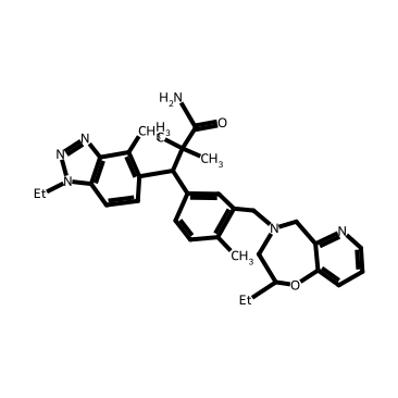 CCC1CN(Cc2cc(C(c3ccc4c(nnn4CC)c3C)C(C)(C)C(N)=O)ccc2C)Cc2ncccc2O1